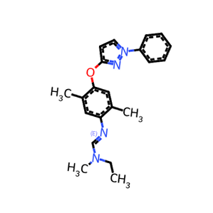 CCN(C)/C=N/c1cc(C)c(Oc2ccn(-c3ccccc3)n2)cc1C